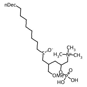 CCCCCCCCCCCCCCCCCC[S+]([O-])CC(COC)CC(C[N+](C)(C)C)OP(=O)(O)O